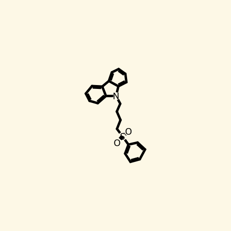 O=S(=O)(CCCCn1c2ccccc2c2ccccc21)c1ccccc1